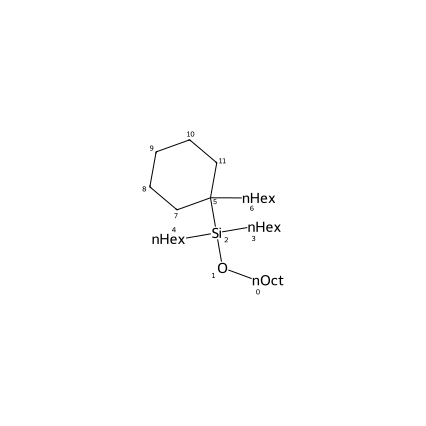 CCCCCCCCO[Si](CCCCCC)(CCCCCC)C1(CCCCCC)CCCCC1